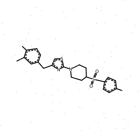 Cc1ccc(S(=O)(=O)C2CCN(c3nc(Cc4ccc(C)c(C)c4)cs3)CC2)cc1